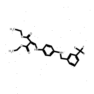 CCOC(=O)C(=CNc1ccc(NCc2cccc(C(F)(F)F)c2)cc1)C(=O)OCC